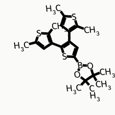 Cc1cc(-c2cc(B3OC(C)(C)C(C)(C)O3)sc2-c2cc(C)sc2C)c(C)s1